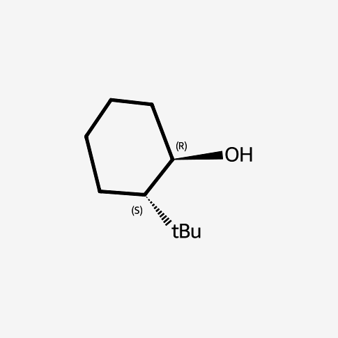 CC(C)(C)[C@@H]1CCCC[C@H]1O